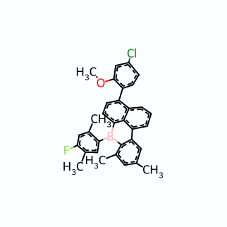 COc1cc(Cl)ccc1-c1ccc2c3c(cccc13)-c1cc(C)cc(C)c1B2c1cc(C)c(F)cc1C